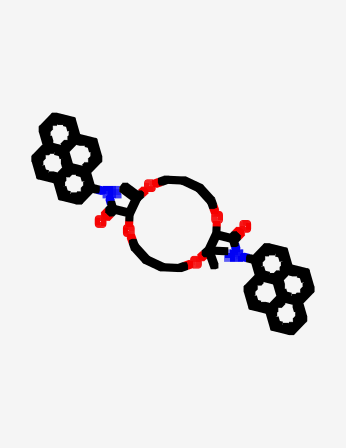 C=C1OCCCCOC(C(=O)Nc2ccc3ccc4cccc5ccc2c3c45)C(C)(C)OCCCCOC1C(=O)Nc1ccc2ccc3cccc4ccc1c2c34